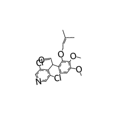 COc1ccc(C(C=O)c2c(Cl)cncc2Cl)c(OCC=C(C)C)c1OC